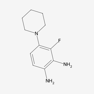 Nc1ccc(N2CCCCC2)c(F)c1N